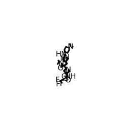 CC(C)n1c(=O)c(-c2ccc(NS(=O)(=O)CCC(F)(F)F)cn2)cc2cnc(N[C@H]3CC[C@H](N(C)C)CC3)nc21